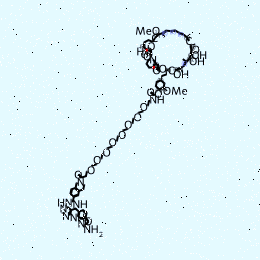 CO[C@H]1CC2CC[C@@H](C)C(=O)C(O)(O2)C(=O)N2CCCC[C@H]2C(=O)O[C@H](CC[C@@H]2CC[C@@H](OC(=O)NCCOCCOCCOCCOCCOCCOCCOCCOCCC(=O)N3CCc4cc(CNc5ncnc(N)c5C(=N)c5ccc6oc(N)nc6c5)ccc4C3)[C@H](OC)C2)C[C@@H](O)[C@H](C)/C=C(\C)[C@@H](O)[C@@H](O)C(=O)[C@H](C)C[C@H](C)/C=C/C=C/C=C/1C